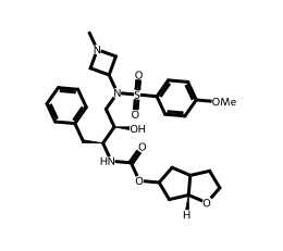 COc1ccc(S(=O)(=O)N(C[C@@H](O)[C@H](Cc2ccccc2)NC(=O)OC2CC3CCO[C@@H]3C2)C2CN(C)C2)cc1